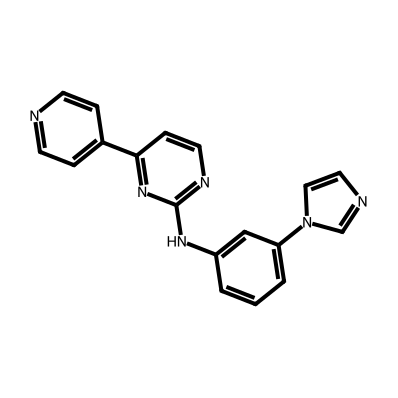 c1cc(Nc2nccc(-c3ccncc3)n2)cc(-n2ccnc2)c1